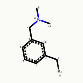 CC(=O)Cc1cccc(CN(C)C)c1